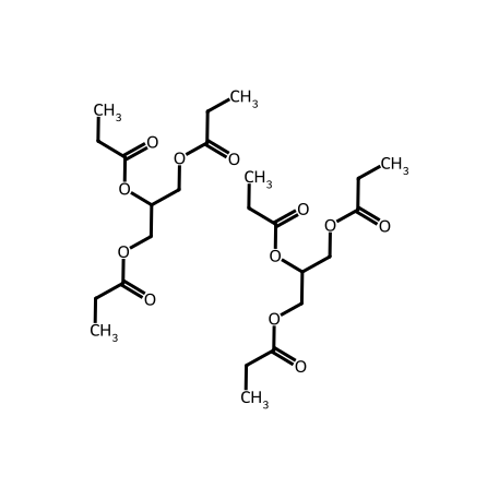 CCC(=O)OCC(COC(=O)CC)OC(=O)CC.CCC(=O)OCC(COC(=O)CC)OC(=O)CC